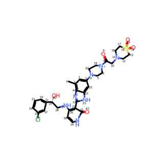 Cc1cc(N2CCN(C(=O)CN3CCS(=O)(=O)CC3)CC2)cc2[nH]c(-c3c(NC[C@@H](O)c4cccc(Cl)c4)cc[nH]c3=O)nc12